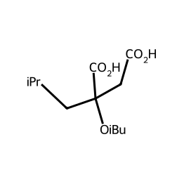 CC(C)COC(CC(=O)O)(CC(C)C)C(=O)O